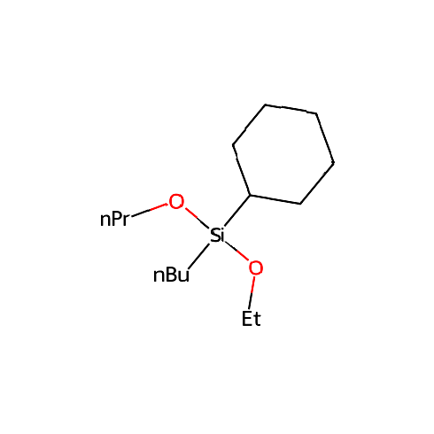 CCCC[Si](OCC)(OCCC)C1CCCCC1